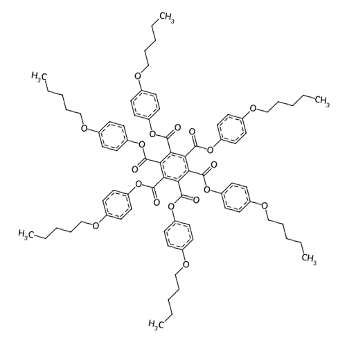 CCCCCOc1ccc(OC(=O)c2c(C(=O)Oc3ccc(OCCCCC)cc3)c(C(=O)Oc3ccc(OCCCCC)cc3)c(C(=O)Oc3ccc(OCCCCC)cc3)c(C(=O)Oc3ccc(OCCCCC)cc3)c2C(=O)Oc2ccc(OCCCCC)cc2)cc1